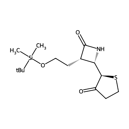 CC(C)(C)[Si](C)(C)OCC[C@@H]1C(=O)N[C@@H]1[C@H]1SCCC1=O